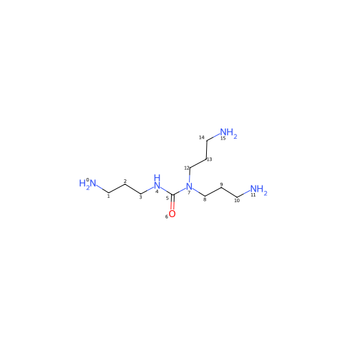 NCCCNC(=O)N(CCCN)CCCN